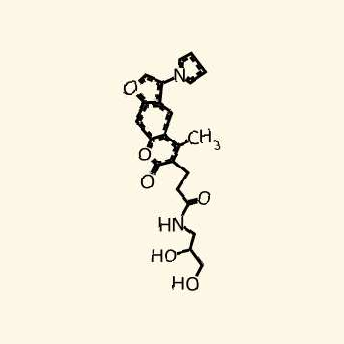 Cc1c(CCC(=O)NCC(O)CO)c(=O)oc2cc3occ(-n4cccc4)c3cc12